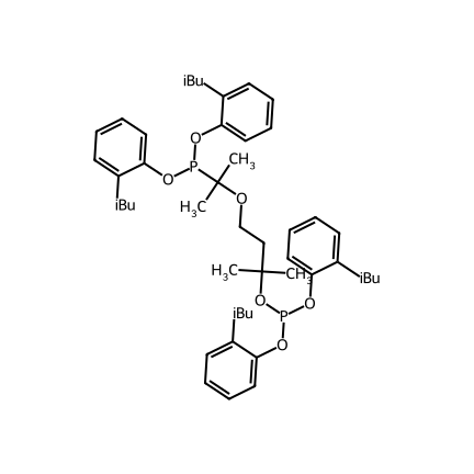 CCC(C)c1ccccc1OP(Oc1ccccc1C(C)CC)OC(C)(C)CCOC(C)(C)P(Oc1ccccc1C(C)CC)Oc1ccccc1C(C)CC